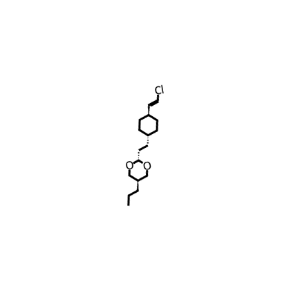 CCC[C@H]1CO[C@H](CC[C@H]2CC[C@H](/C=C/Cl)CC2)OC1